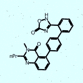 CCCc1nc2cccc(-c3ccc(-c4ccccc4-c4nc(=O)o[nH]4)cc3)c2c(=O)n1C